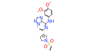 C=CS(=O)(=O)N1CC[C@H](C(=C)/N=C(/Nc2ccc(OC)c(OC)c2)c2ncnn2C)C1